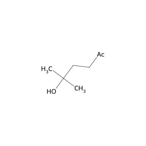 CC(=O)CCC(C)(C)O